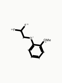 COc1c[c]ccc1OCC(F)F